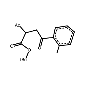 CC(=O)C(CC(=O)c1ccccc1C)C(=O)OC(C)(C)C